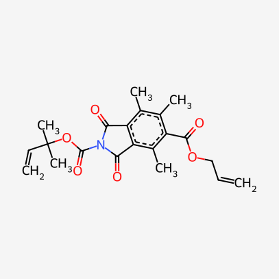 C=CCOC(=O)c1c(C)c(C)c2c(c1C)C(=O)N(C(=O)OC(C)(C)C=C)C2=O